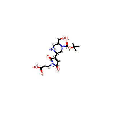 CC(C)(C)OC(=O)N1CC(C2=CC(=O)N(CCC(=O)O)C2=O)NCC1CO